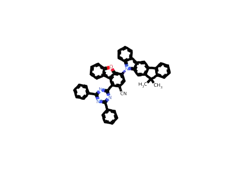 CC1(C)c2ccccc2-c2cc3c4ccccc4n(-c4cc(C#N)c(-c5nc(-c6ccccc6)nc(-c6ccccc6)n5)c5c4oc4ccccc45)c3cc21